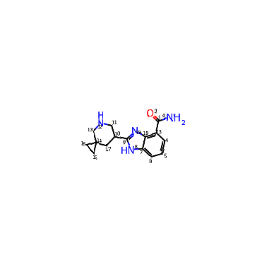 NC(=O)c1cccc2[nH]c(C3CNCC4(CC4)C3)nc12